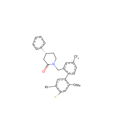 COc1cc(F)c(C(C)C)cc1-c1ccc(C(F)(F)F)cc1CN1CC[C@@H](c2ccccc2)CC1=O